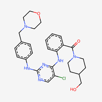 O=C(c1ccccc1Nc1nc(Nc2ccc(CN3CCOCC3)cc2)ncc1Cl)N1CCC(CO)CC1